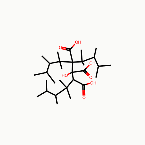 CC(C)C(C)C(C)(C)C(C(=O)O)C(O)(C(=O)O)C(C(=O)O)(C(C)(C)C(C)C(C)C)C(C)(C)C(C)C(C)C